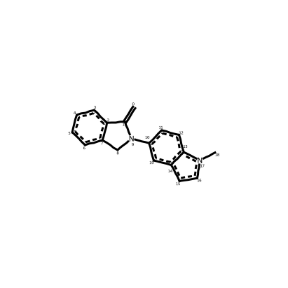 C=C1c2ccccc2CN1c1ccc2c(ccn2C)c1